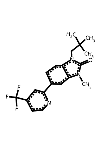 Cn1c(=O)n(CC(C)(C)C)c2ccc(-c3cc(C(F)(F)F)ccn3)cc21